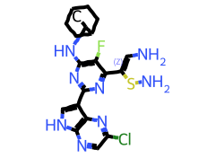 N/C=C(\SN)c1nc(-c2c[nH]c3ncc(Cl)nc23)nc(NC2CC3CCC2CC3)c1F